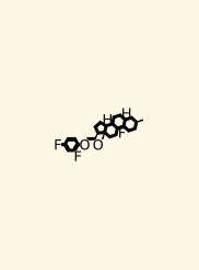 C[C@H]1CC[C@]2(F)C3CC[C@@]4(C)C(CC[C@@H]4C(=O)COc4ccc(F)cc4F)[C@@H]3CC[C@@H]2C1